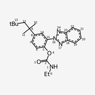 CCNC(=O)Oc1ccc(C(C)(C)CC(C)(C)C)cc1-n1nc2ccccc2n1